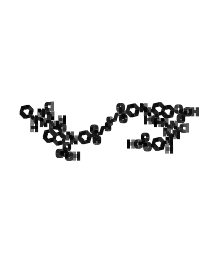 O=S(O)Oc1ccc(Nc2nc(Cl)nc(Nc3cc(OS(=O)O)cc4ccc(N=Nc5ccc(S(=O)(=O)CCSSCCS(=O)(=O)c6ccc(N=Nc7c(OS(=O)O)cc8cccc(Nc9nc(Cl)nc(Nc%10ccccc%10)n9)c8c7O)cc6)cc5)c(O)c34)n2)cc1